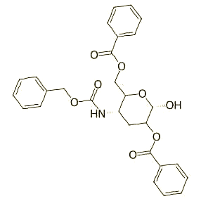 O=C(N[C@H]1CC(OC(=O)c2ccccc2)[C@@H](O)OC1COC(=O)c1ccccc1)OCc1ccccc1